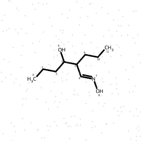 CCCC(O)C(C=NO)CCC